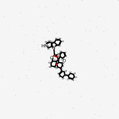 C1=CC2OC3CC(C4=CCCC(C5C=CCCC5)C4)CCC3C3(C2C=C1)C1C=CC(N2C4=C(C=CNC4)C4C=CC=CC42)CC1OC1CCCCC13